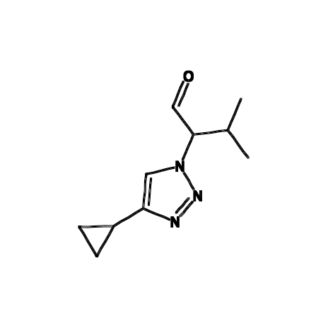 CC(C)C(C=O)n1cc(C2CC2)nn1